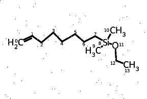 C=CCCCCCC[Si](C)(C)OCC